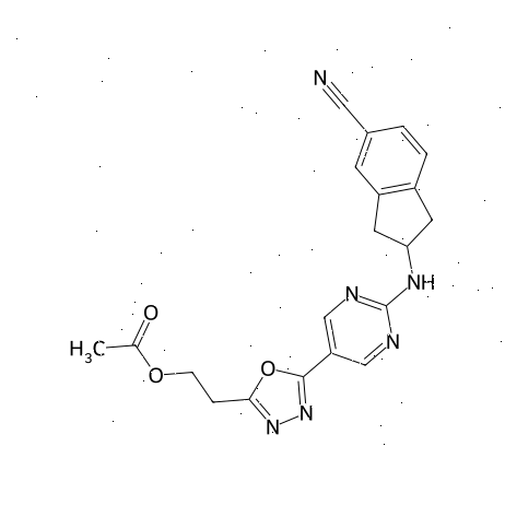 CC(=O)OCCc1nnc(-c2cnc(NC3Cc4ccc(C#N)cc4C3)nc2)o1